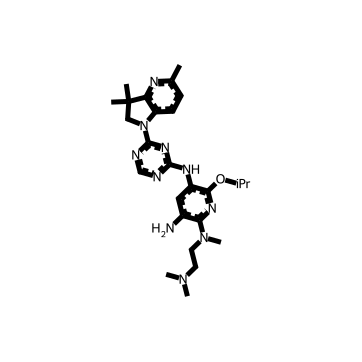 Cc1ccc2c(n1)C(C)(C)CN2c1ncnc(Nc2cc(N)c(N(C)CCN(C)C)nc2OC(C)C)n1